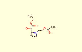 CCOC(=O)C(=O)c1cccn1CCOC(C)=O